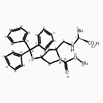 CC[C@H](C)[C@H](NCC1CC(SC(c2ccccc2)(c2ccccc2)c2ccccc2)CN1C(=O)OC(C)(C)C)C(=O)O